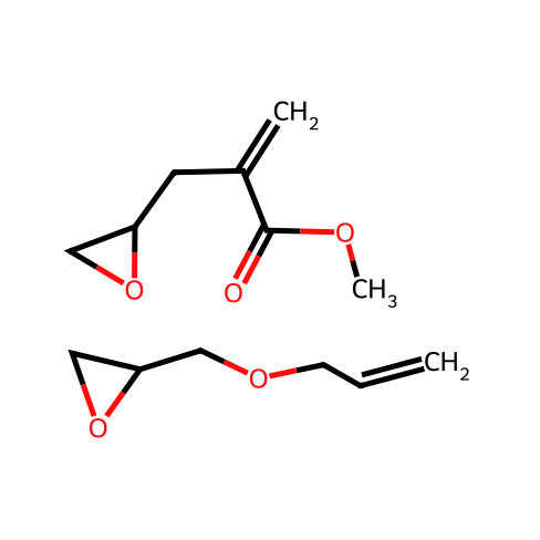 C=C(CC1CO1)C(=O)OC.C=CCOCC1CO1